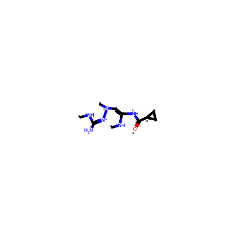 CN/C(N)=N\N(C)/C=C(\NC)NC(=O)C1CC1